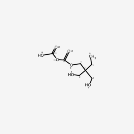 CCC(CO)(CO)COC(=O)OC(=O)O